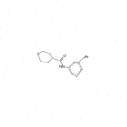 CC(C)c1cccc(NC(=O)C2CCOCC2)c1